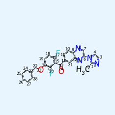 Cc1nccn1-c1cnc2ccc(C(=O)c3c(F)ccc(OCc4ccccc4)c3F)cc2n1